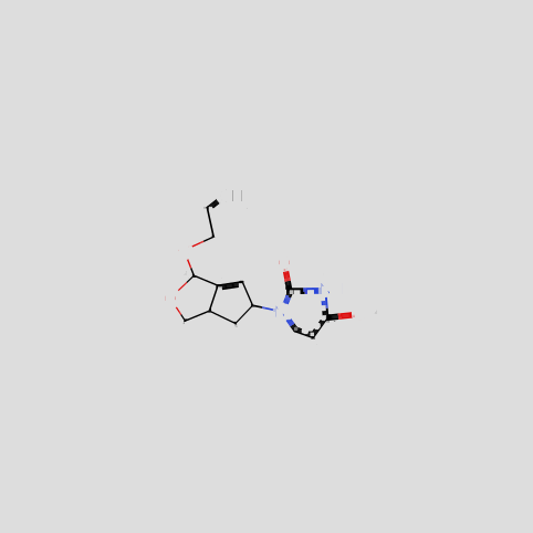 C=CCOC1OCC2CC(n3ccc(=O)[nH]c3=O)C=C21